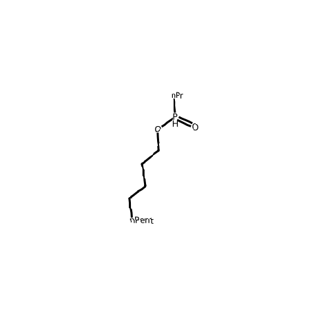 CCCCCCCCCO[PH](=O)CCC